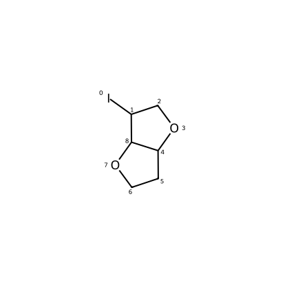 IC1COC2CCOC12